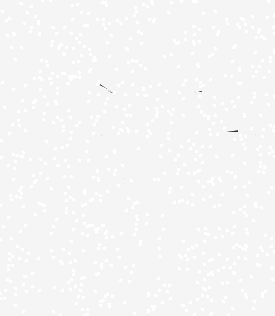 C/C=C1\CC2CC(=O)OC(/C=C/C=C\CCCCO)[C@@H](C)/C=C/[C@H](C)C[C@H]3CCCC(C[C@@H](C1)O2)O3